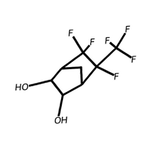 OC1C(O)C2CC1C(F)(F)C2(F)C(F)(F)F